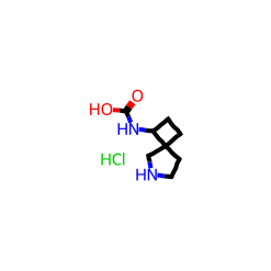 Cl.O=C(O)NC1CCC12CCNC2